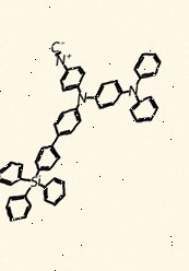 [C-]#[N+]c1ccc(N(c2ccc(-c3ccc([Si](c4ccccc4)(c4ccccc4)c4ccccc4)cc3)cc2)c2ccc(N(c3ccccc3)c3ccccc3)cc2)cc1